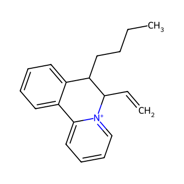 C=CC1C(CCCC)c2ccccc2-c2cccc[n+]21